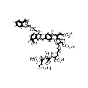 O=C(O)CCC(NC(=O)NC(CCCCNC(=O)C(CC(=O)O)NC(=O)C(CC(=O)O)Nc1ccc(CN(CCNCCNCC/N=C\c2ccccc2O)Cc2ccccc2O)cc1)C(=O)O)C(=O)O